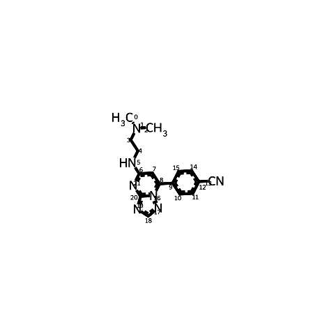 CN(C)CCNc1cc(-c2ccc(C#N)cc2)n2ncnc2n1